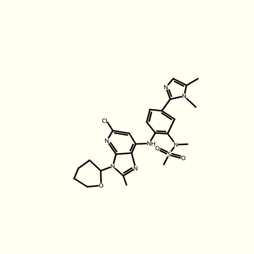 Cc1cnc(-c2ccc(Nc3cc(Cl)nc4c3nc(C)n4C3CCCCO3)c(N(C)S(C)(=O)=O)c2)n1C